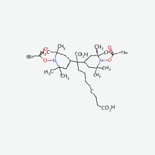 CC(C)(C)C(=O)ON1C(C)(C)CC(C(CCCCCCCC(=O)O)(C(=O)O)C2CC(C)(C)N(OC(=O)C(C)(C)C)C(C)(C)C2)CC1(C)C